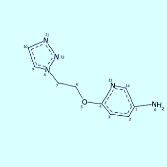 Nc1ccc(OCCn2ccnn2)nc1